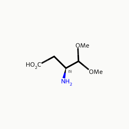 COC(OC)[C@@H](N)CC(=O)O